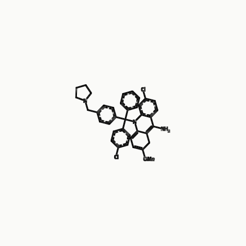 COC1=CC=C2C(=C(N)c3ccc(Cl)cc3N2C(c2ccccc2)(c2ccc(Cl)cc2)c2ccc(CN3CCCC3)cc2)C1